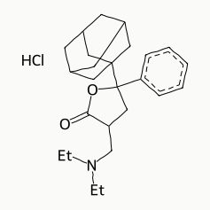 CCN(CC)CC1CC(c2ccccc2)(C23CC4CC(CC(C4)C2)C3)OC1=O.Cl